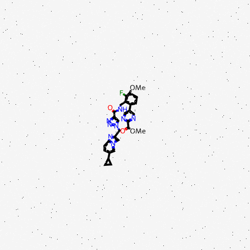 COC(=O)c1ncc(-c2ccc(OC)c(F)c2CNC(=O)c2cn(Cc3cn4cc(C5CC5)ccc4n3)nn2)cn1